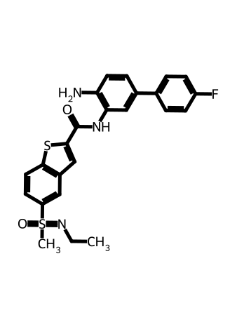 CCN=S(C)(=O)c1ccc2sc(C(=O)Nc3cc(-c4ccc(F)cc4)ccc3N)cc2c1